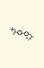 CC(N)Cc1ccc(-c2ccc(C(=O)OC(C)(C)C)cc2)cc1